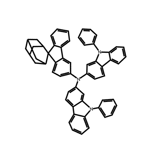 c1ccc(-n2c3ccccc3c3ccc(N(c4ccc5c(c4)-c4ccccc4C54C5CC6CC(C5)CC4C6)c4ccc5c6ccccc6n(-c6ccccc6)c5c4)cc32)cc1